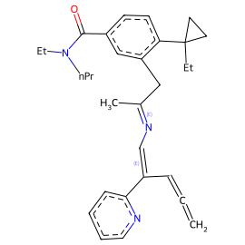 C=C=C/C(=C\N=C(/C)Cc1cc(C(=O)N(CC)CCC)ccc1C1(CC)CC1)c1ccccn1